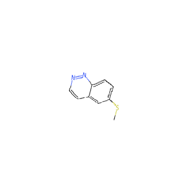 CSc1ccc2nnccc2c1